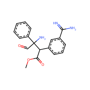 COC(=O)C(c1cccc(C(=N)N)c1)C(N)(C=O)c1ccccc1